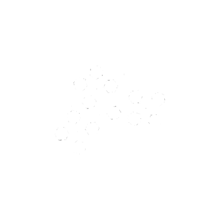 Cc1cc2c3c(c1)[Si](c1ccccc1)(c1ccccc1)c1cc(C)cc4c1P3c1c(cccc1B4c1ccc3c(c1)C(c1ccccc1)(c1ccccc1)c1ccccc1-3)B2c1ccc2c(c1)C(c1ccccc1)(c1ccccc1)c1ccccc1-2